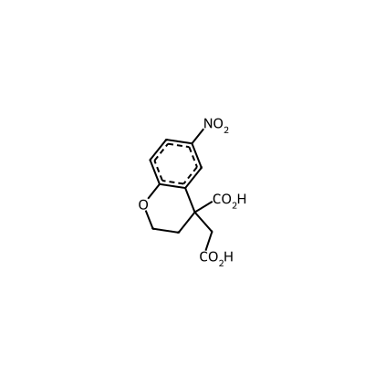 O=C(O)CC1(C(=O)O)CCOc2ccc([N+](=O)[O-])cc21